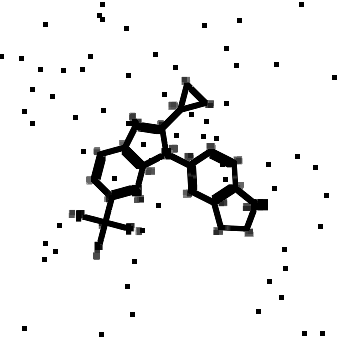 FC(F)(F)c1ccc2nc(C3CC3)n(-c3ccc4c(c3)CCN4)c2n1